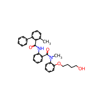 Cc1cccc(-c2ccccc2)c1C(=O)Nc1ccccc1C(=O)N(C)c1ccccc1OCCCCO